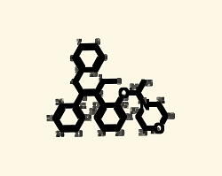 CCC(=C(Cc1ccccc1)c1ccccc1)c1ccccc1OC(C)N1CCOCC1